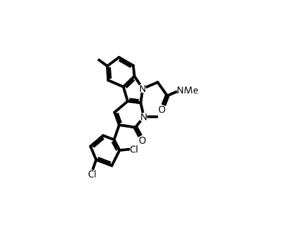 CNC(=O)Cn1c2ccc(C)cc2c2cc(-c3ccc(Cl)cc3Cl)c(=O)n(C)c21